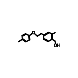 Cc1ccc(OCCc2ccc(CO)c(C)c2)cc1